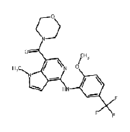 COc1ccc(C(F)(F)F)cc1Nc1ncc(C(=O)N2CCOCC2)c2c1ccn2C